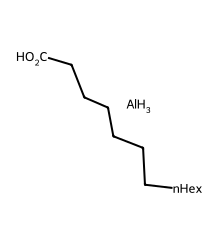 CCCCCCCCCCCCC(=O)O.[AlH3]